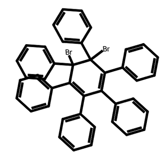 BrC1(c2ccccc2)C(c2ccccc2)=C(c2ccccc2)C(c2ccccc2)=C(c2ccccc2)C1(Br)c1ccccc1